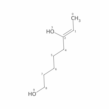 CC=C(O)CCCCCO